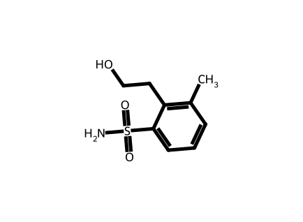 Cc1cccc(S(N)(=O)=O)c1CCO